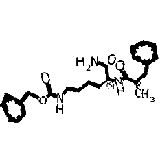 C[C@@H](Cc1ccccc1)C(=O)N[C@@H](CCCCNC(=O)OCc1ccccc1)C(N)=O